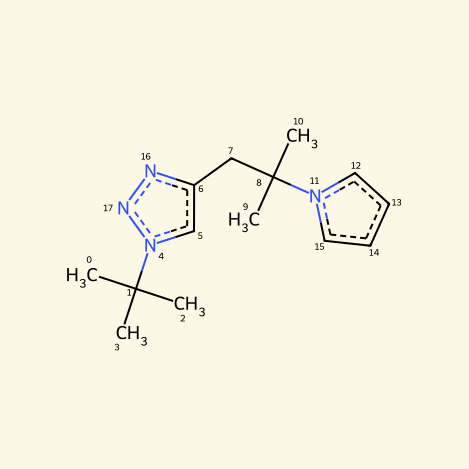 CC(C)(C)n1cc(CC(C)(C)n2cccc2)nn1